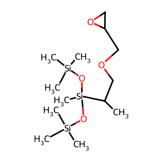 CC(COCC1CO1)[Si](C)(O[Si](C)(C)C)O[Si](C)(C)C